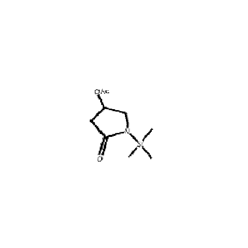 CC(=O)OC1CC(=O)N([Si](C)(C)C)C1